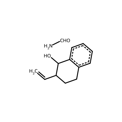 C=CC1CCc2ccccc2C1O.NC=O